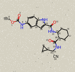 CC(C)(C)OC(=O)Nc1ccc2[nH]c(C(=O)N[C@H]3CCCC[C@H]3C(=O)N[C@H](C#N)C3CC3)cc2c1